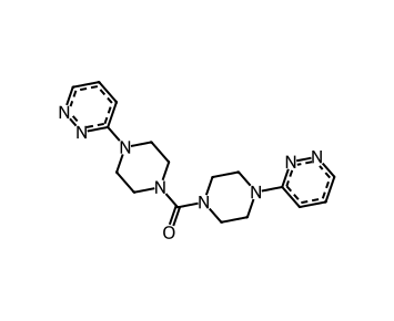 O=C(N1CCN(c2cccnn2)CC1)N1CCN(c2cccnn2)CC1